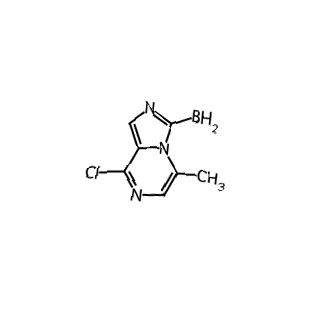 Bc1ncc2c(Cl)ncc(C)n12